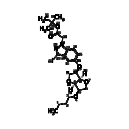 CCCCO[C@@H]1CO[C@H]2[C@@H]1OC[C@H]2Oc1ccc2c(c1)c(I)nn2CC(=O)OC(C)(C)C